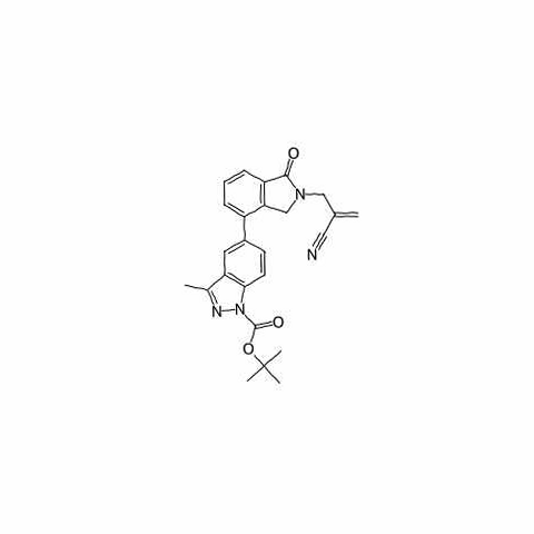 C=C(C#N)CN1Cc2c(cccc2-c2ccc3c(c2)c(C)nn3C(=O)OC(C)(C)C)C1=O